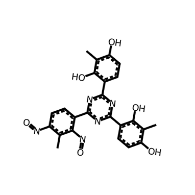 Cc1c(O)ccc(-c2nc(-c3ccc(O)c(C)c3O)nc(-c3ccc(N=O)c(C)c3N=O)n2)c1O